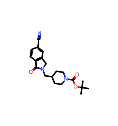 CC(C)(C)OC(=O)N1CCC(CN2Cc3cc(C#N)ccc3C2=O)CC1